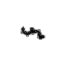 Cc1ccc(C(=O)c2ccc(C(=O)c3ccc(-n4c(=O)n(-c5ccc(C(=O)c6ccc(-n7c(=O)n(C)c8ccccc87)cc6)cc5)c5ccccc54)cc3)cc2)cc1